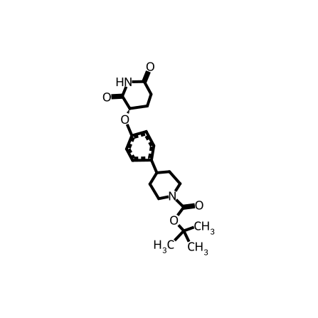 CC(C)(C)OC(=O)N1CCC(c2ccc(O[C@H]3CCC(=O)NC3=O)cc2)CC1